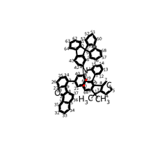 CC1(C)c2ccccc2-c2c(-c3ccccc3N(c3cccc(-c4cccc5oc6c7ccccc7ccc6c45)c3)c3ccc4c(c3)C(c3ccccc3)(c3ccccc3)c3ccccc3-4)cccc21